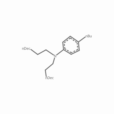 CCCCCCCCCCCCN(CCCCCCCCCCCC)c1ccc(CCCC)cc1